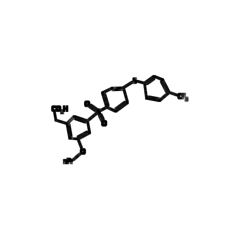 CCCOc1cc(CC(=O)O)cc(S(=O)(=O)c2ccc(Sc3ccc(C(F)(F)F)cc3)cc2)c1